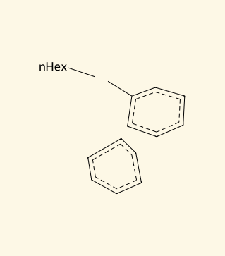 CCCCCCC.Cc1ccccc1.c1ccccc1